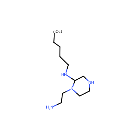 CCCCCCCCCCCCNC1CNCCN1CCN